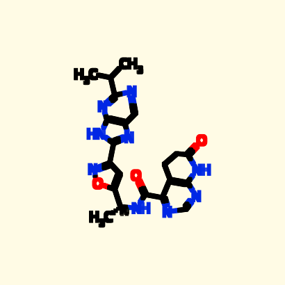 CC(C)c1ncc2nc(-c3cc([C@@H](C)NC(=O)c4ncnc5c4CCC(=O)N5)on3)[nH]c2n1